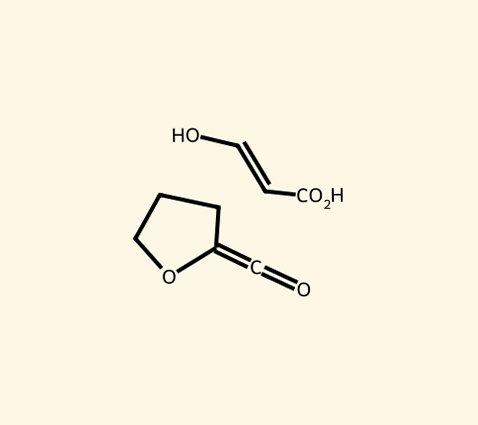 O=C(O)C=CO.O=C=C1CCCO1